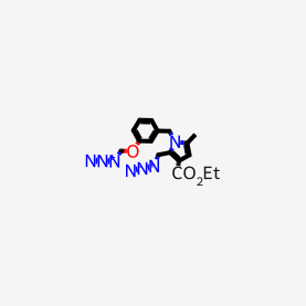 CCOC(=O)c1cc(C)n(Cc2cccc(OCN=[N+]=[N-])c2)c1CN=[N+]=[N-]